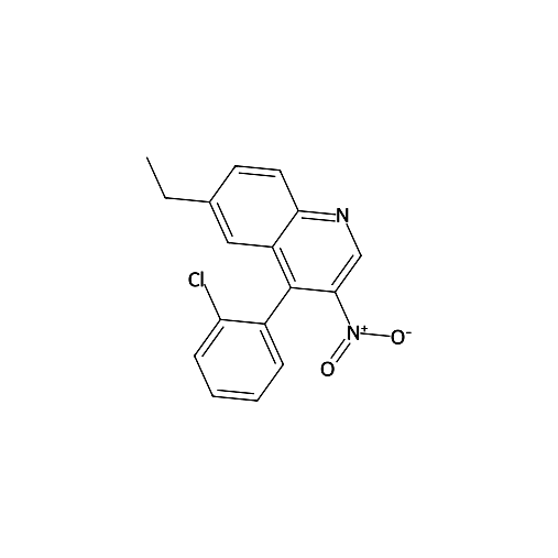 CCc1ccc2ncc([N+](=O)[O-])c(-c3ccccc3Cl)c2c1